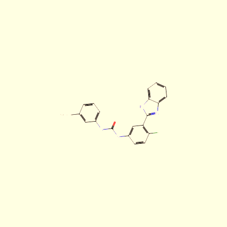 COc1cccc(NC(=O)Nc2ccc(Cl)c(-c3nc4ccccc4[nH]3)c2)c1